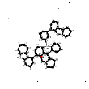 c1cc(-c2cccc3c2sc2ccccc23)cc(N(c2ccc(-c3cccc4sc5ccccc5c34)cc2)c2ccccc2-c2cccc3ccccc23)c1